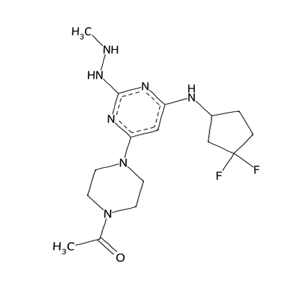 CNNc1nc(NC2CCC(F)(F)C2)cc(N2CCN(C(C)=O)CC2)n1